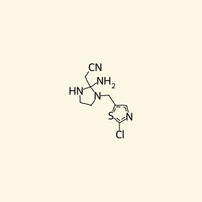 N#CCC1(N)NCCN1Cc1cnc(Cl)s1